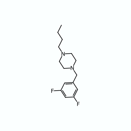 CCCCN1CCN(Cc2cc(F)cc(F)c2)CC1